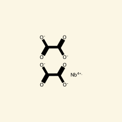 O=C([O-])C(=O)[O-].O=C([O-])C(=O)[O-].[Nb+4]